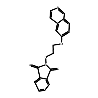 O=C1c2ccccc2C(=O)N1OCCOc1ccc2cnccc2c1